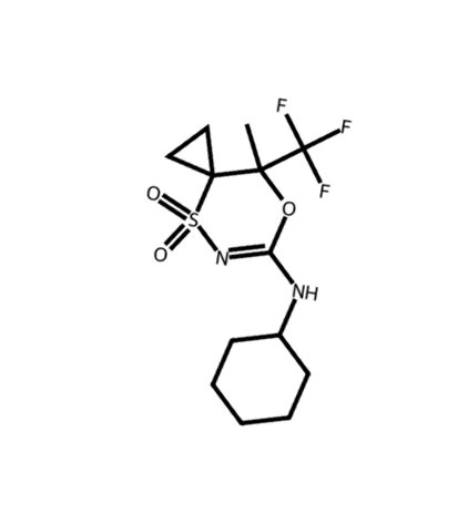 CC1(C(F)(F)F)OC(NC2CCCCC2)=NS(=O)(=O)C12CC2